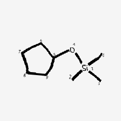 C[Si](C)(C)OC1CCCC1